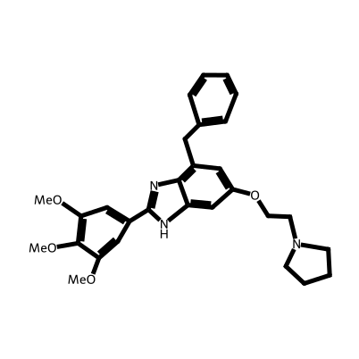 COc1cc(-c2nc3c(Cc4ccccc4)cc(OCCN4CCCC4)cc3[nH]2)cc(OC)c1OC